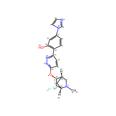 CN1C[C@@H]2C[C@H]1[C@H](F)[C@H]2Oc1ccc(-c2ccc(-n3ccnc3)cc2O)nn1